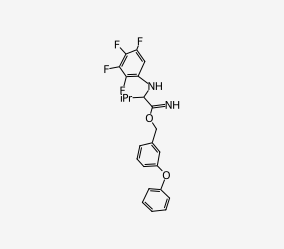 CC(C)C(Nc1cc(F)c(F)c(F)c1F)C(=N)OCc1cccc(Oc2ccccc2)c1